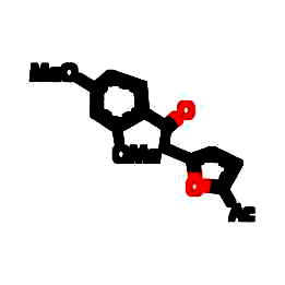 COc1ccc(C(=O)Cc2ccc(C(C)=O)o2)c(OC)c1